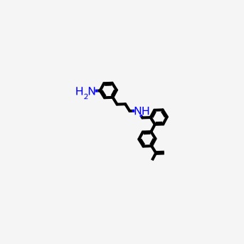 C=C(C)c1cccc(-c2ccccc2CNCCCc2cccc(N)c2)c1